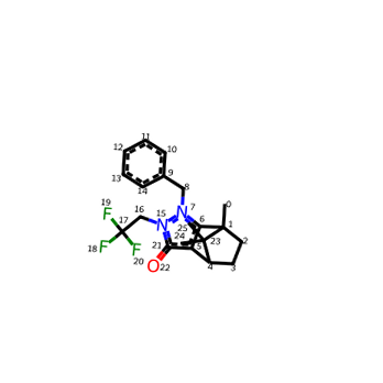 CC12CCC(c3c1n(Cc1ccccc1)n(CC(F)(F)F)c3=O)C2(C)C